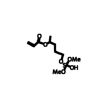 C=CC(=O)OC(C)CCCO[Si](O)(OC)OC